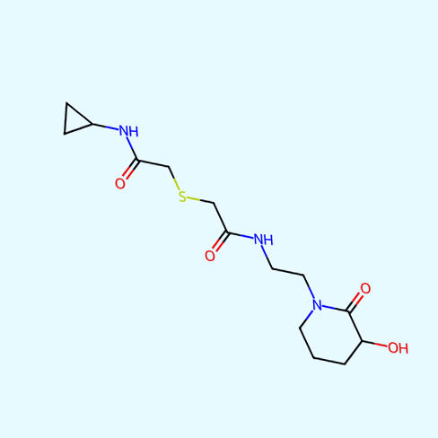 O=C(CSCC(=O)NC1CC1)NCCN1CCCC(O)C1=O